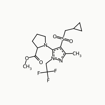 COC(=O)C1CCCN1c1c(S(=O)(=O)CC2CC2)c(C)nn1CC(F)(F)F